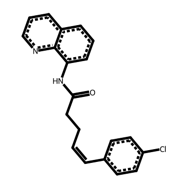 O=C(CC/C=C\c1ccc(Cl)cc1)Nc1cccc2cccnc12